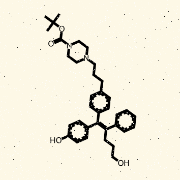 CC(C)(C)OC(=O)N1CCN(CCCc2ccc(/C(=C(/CCCO)c3ccccc3)c3ccc(O)cc3)cc2)CC1